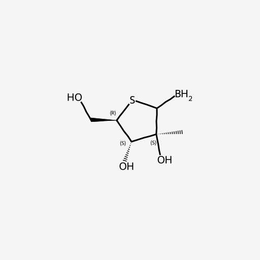 BC1S[C@H](CO)[C@@H](O)[C@]1(C)O